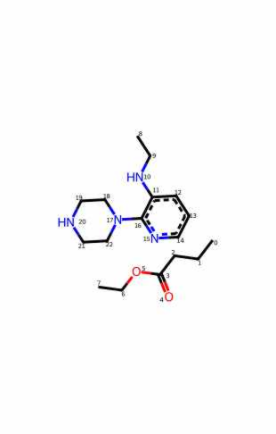 CCCC(=O)OCC.CCNc1cccnc1N1CCNCC1